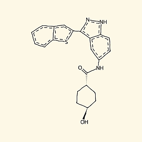 O=C(Nc1ccc2[nH]nc(-c3cc4ccccc4s3)c2c1)[C@H]1CC[C@H](O)CC1